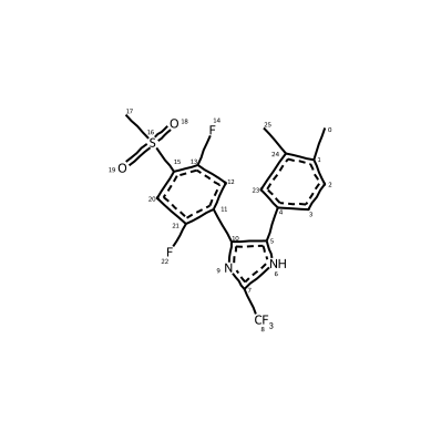 Cc1ccc(-c2[nH]c(C(F)(F)F)nc2-c2cc(F)c(S(C)(=O)=O)cc2F)cc1C